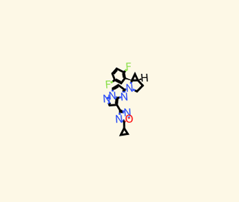 Fc1ccc(F)c([C@@]23C[C@@H]2CCN3c2ccn3ncc(-c4noc(C5CC5)n4)c3n2)c1